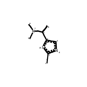 Cc1ncc(C(C)N(C)C)s1